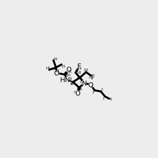 CCCCON1C(=O)[C@@H](NC(=O)OC(C)(C)C)C1(CF)CF